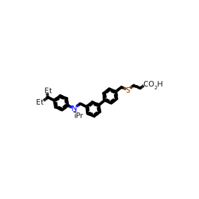 CCC(CC)c1ccc(N(Cc2cccc(-c3ccc(CSCCC(=O)O)cc3)c2)C(C)C)cc1